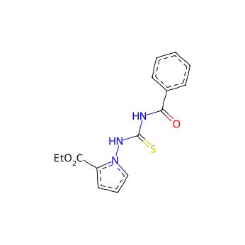 CCOC(=O)c1cccn1NC(=S)NC(=O)c1ccccc1